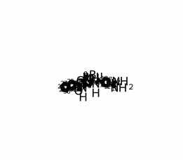 CCCCNC(=O)C(CC(=O)NCC1CCN(C(=N)N)CC1)NS(=O)(=O)c1ccc2ccccc2c1